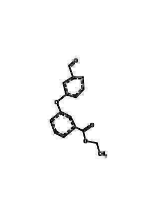 CCOC(=O)c1cccc(Oc2cccc(C=O)c2)c1